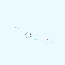 CCCCCCCCCOc1ccc(C2CCC(CC(=O)C3CCC(CCC)CC3=O)CC2)cc1